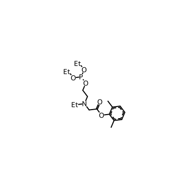 CCOP(OCC)OCCN(CC)CC(=O)Oc1c(C)cccc1C